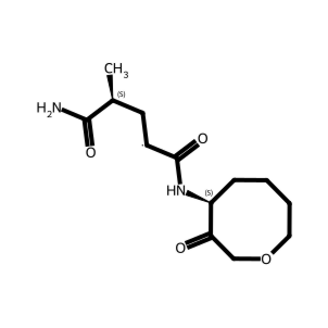 C[C@@H](C[CH]C(=O)N[C@H]1CCCCOCC1=O)C(N)=O